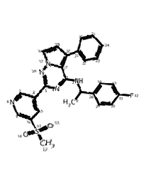 CC(Nc1nc(-c2cncc(S(C)(=O)=O)c2)nn2ccc(-c3ccccc3)c12)c1ccc(F)cc1